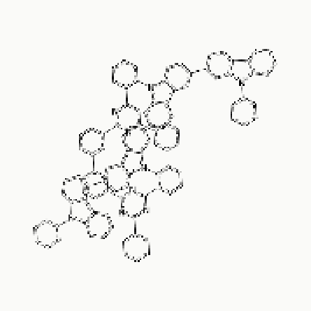 c1ccc(-c2cc(-c3ccccc3-n3c4ccccc4c4cc(-c5ccc6c7ccccc7n(-c7ccccc7)c6c5)ccc43)nc(-c3cccc(-c4cccc(-c5nc(-c6ccccc6)nc(-c6ccccc6-n6c7ccccc7c7cc(-c8cccc9c8c8ccccc8n9-c8ccccc8)ccc76)n5)c4)c3)n2)cc1